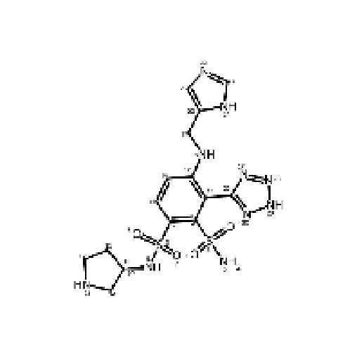 NS(=O)(=O)c1c(S(=O)(=O)N[C@@H]2CCNC2)ccc(NCc2cnc[nH]2)c1-c1nn[nH]n1